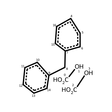 O=C(O)O.O=C(O)O.c1ccc(Cc2ccccc2)cc1